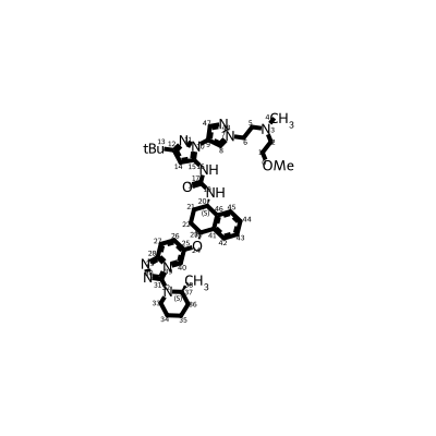 COCCN(C)CCn1cc(-n2nc(C(C)(C)C)cc2NC(=O)N[C@H]2CC[C@@H](Oc3ccc4nnc(N5CCCC[C@@H]5C)n4c3)c3ccccc32)cn1